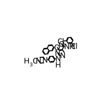 CN1CCN(c2ccc(Nc3ncc(C(=O)Nc4c(Cl)cccc4Cl)c(Oc4ccc5ccccc5c4)n3)cc2)CC1